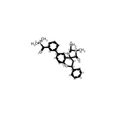 CN(C)C(=O)c1cccc(-c2ccc3c(c2)C2(CC(c4ccccc4)O3)N=C(N)N(C)C2=O)c1